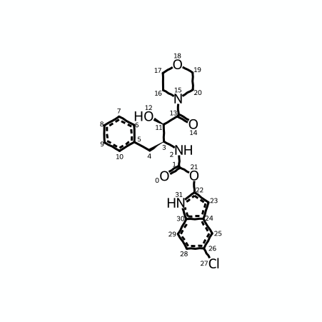 O=C(N[C@@H](Cc1ccccc1)[C@@H](O)C(=O)N1CCOCC1)Oc1cc2cc(Cl)ccc2[nH]1